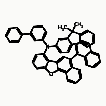 CC1(C)c2ccccc2-c2ccc(N(c3cccc(-c4ccccc4)c3)c3cccc4oc5c6ccccc6c(-c6cccc7ccccc67)cc5c34)cc21